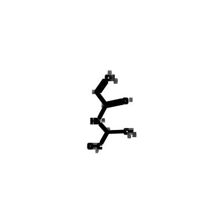 C=CC(=O)NC(C)C=O